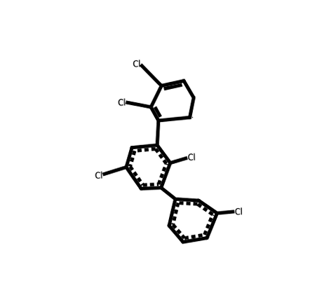 ClC1=CC[CH]C(c2cc(Cl)cc(-c3cccc(Cl)c3)c2Cl)=C1Cl